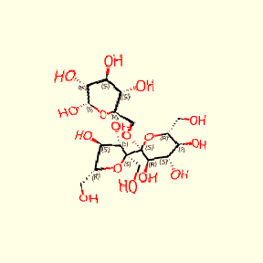 OC[C@H]1O[C@](CO)([C@@]2(OC[C@H]3O[C@H](O)[C@H](O)[C@@H](O)[C@@H]3O)O[C@H](CO)[C@@H](O)[C@H](O)[C@H]2O)[C@@H](O)[C@@H]1O